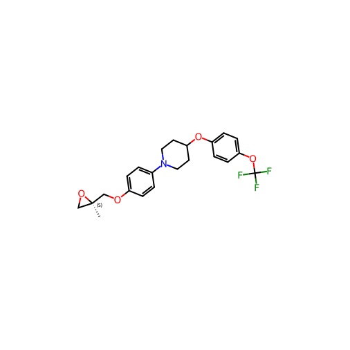 C[C@]1(COc2ccc(N3CCC(Oc4ccc(OC(F)(F)F)cc4)CC3)cc2)CO1